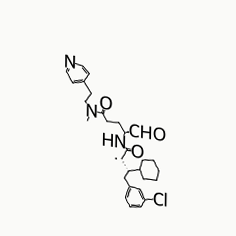 CN(CCc1ccncc1)C(=O)CC[C@@H](C=O)NC(=O)[CH][C@@H](Cc1cccc(Cl)c1)C1CCCCC1